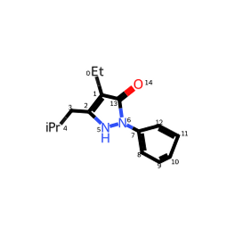 CCc1c(CC(C)C)[nH]n(-c2ccccc2)c1=O